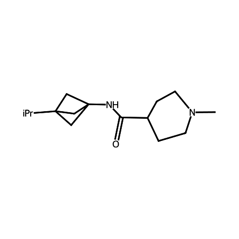 CC(C)C12CC(NC(=O)C3CCN(C)CC3)(C1)C2